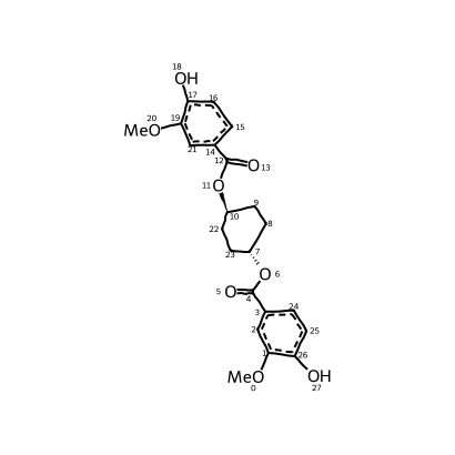 COc1cc(C(=O)O[C@H]2CC[C@H](OC(=O)c3ccc(O)c(OC)c3)CC2)ccc1O